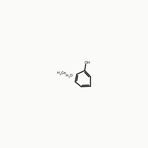 O.Oc1ccccc1.[GeH4]